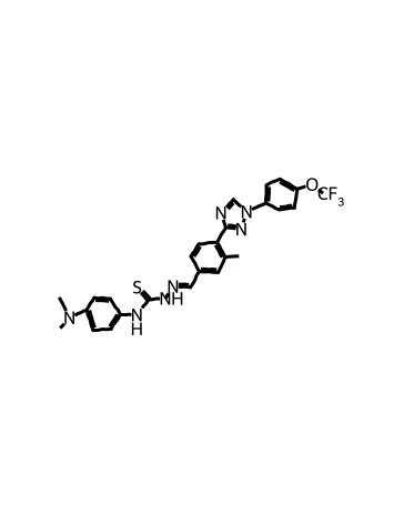 Cc1cc(C=NNC(=S)Nc2ccc(N(C)C)cc2)ccc1-c1ncn(-c2ccc(OC(F)(F)F)cc2)n1